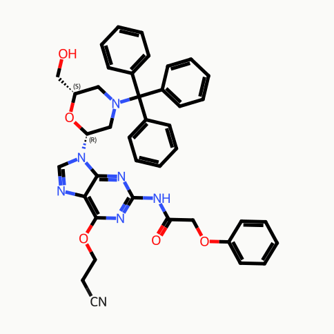 N#CCCOc1nc(NC(=O)COc2ccccc2)nc2c1ncn2[C@H]1CN(C(c2ccccc2)(c2ccccc2)c2ccccc2)C[C@@H](CO)O1